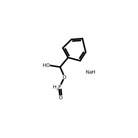 O=[PH2]OC(O)c1ccccc1.[NaH]